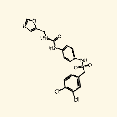 O=C(NCc1cnco1)Nc1ccc(NS(=O)(=O)Cc2ccc(Cl)c(Cl)c2)cc1